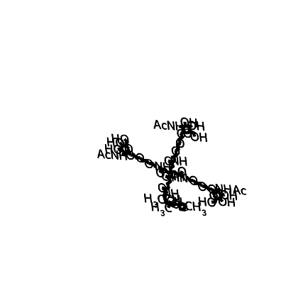 CC(=O)NC1C(OCCOCCOCCNC(=O)CCC(CCC(=O)NCCOCCOCCOC2OC(CO)C(O)C(O)C2NC(C)=O)(CCC(=O)NCCOCCOCCOC2OC(CO)C(O)C(O)C2NC(C)=O)NC(=O)CCCC(=O)NCC(C)(C)CC(C)(C)COC2CCC(C)C2)OC(CO)C(O)C1O